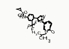 CC(C)Cn1cc(-n2cc(-c3ccc(NS(=O)(=O)C4CC4)cc3C(F)(F)F)cn2)ccc1=O